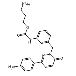 CNCCCOC(=O)Nc1cccc(Cn2nc(-c3ccc(N)cc3)ccc2=O)c1